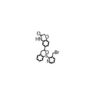 O=C1COc2ccc(C(=O)Cc3ccccc3Sc3ncccc3CBr)cc2N1